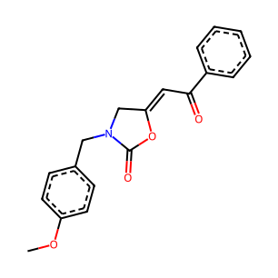 COc1ccc(CN2CC(=CC(=O)c3ccccc3)OC2=O)cc1